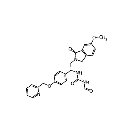 COc1ccc2c(c1)C(=O)N(C[C@H](NC(=O)NC=O)c1ccc(OCc3ccccn3)cc1)C2